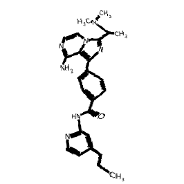 CCCc1ccnc(NC(=O)c2ccc(-c3nc(C(C)N(C)C)n4ccnc(N)c34)cc2)c1